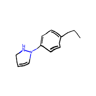 CCc1ccc(N2C=CCN2)cc1